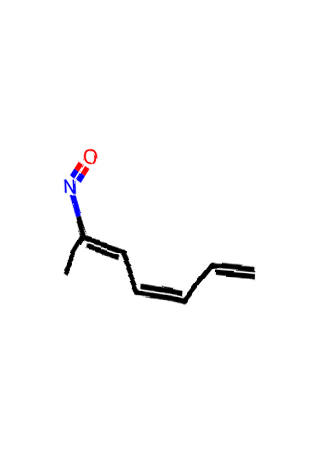 C=C/C=C\C=C(/C)N=O